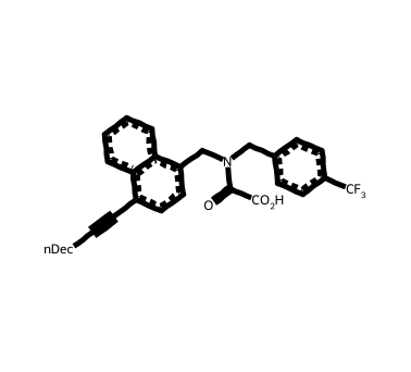 CCCCCCCCCCC#Cc1ccc(CN(Cc2ccc(C(F)(F)F)cc2)C(=O)C(=O)O)c2ccccc12